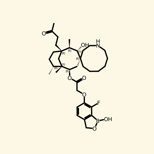 CC(=O)CC[C@]12CC[C@@H](C)[C@](C)(C1)[C@H](OC(=O)COc1ccc3c(c1F)B(O)OC3)C[C@]1(CCCCCCNCC1)[C@@H](O)[C@@H]2C